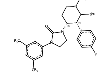 CC(C)(C)C1[C@H](c2ccc(F)cc2)[C@H](N2CCN(c3cc(C(F)(F)F)cc(C(F)(F)F)c3)C2=O)CCN1C(=O)O